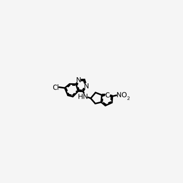 O=[N+]([O-])c1ccc2c(c1)CC(Nc1ncnc3cc(Cl)ccc13)C2